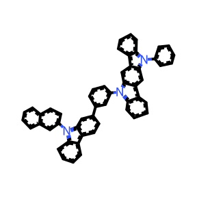 c1ccc(-n2c3ccccc3c3cc4c(cc32)c2ccccc2n4-c2cccc(-c3ccc4c5ccccc5n(-c5ccc6ccccc6c5)c4c3)c2)cc1